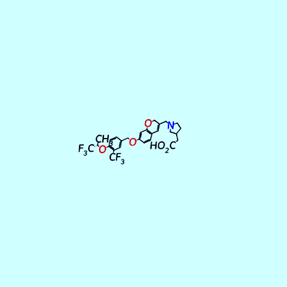 C[C@H](Oc1ccc(COc2ccc3c(c2)OCC(CN2CCC(CC(=O)O)C2)=C3)cc1C(F)(F)F)C(F)(F)F